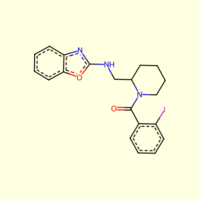 O=C(c1ccccc1I)N1CCCCC1CNc1nc2ccccc2o1